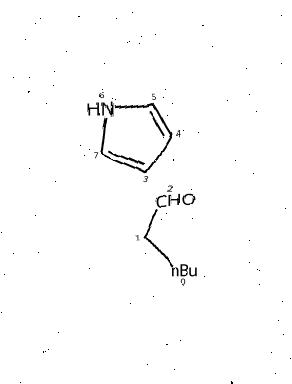 CCCCCC=O.c1cc[nH]c1